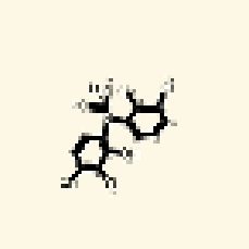 NC(=O)N(c1ccc(Cl)c(Cl)c1O)c1cccc(Cl)c1Cl